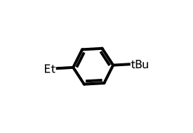 [CH2]C(C)(C)c1ccc(CC)cc1